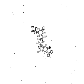 COC(=O)c1cc2c(C)nn(C3CCN([C@H](C)c4cc(Cl)cc(OC(F)(F)F)c4)C3)c2cc1F